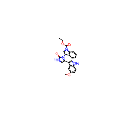 CCOC(=O)n1cc(-n2c(-c3c[nH]c4ccc(OC)cc34)c[nH]c2=O)c2ccccc21